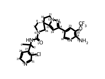 CC(C)(NC(=O)N1CC[C@@]2(CCn3nc(-c4cnc(N)c(OC(F)(F)F)c4)cc32)C1)c1ccncc1Cl